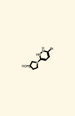 O[C@@H]1CCN(C2=CC=C(Br)NN2)C1